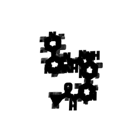 O=C(Nc1cncc(-c2ccc3[nH]nc(-c4nc5c(-c6ccncc6)cncc5[nH]4)c3n2)c1)C1CC1